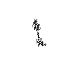 [N-]=[N+]=Nc1c(F)c(F)c(C(=O)OCCSSCCOC(=O)c2c(F)c(F)c(N=[N+]=[N-])c(F)c2F)c(F)c1F